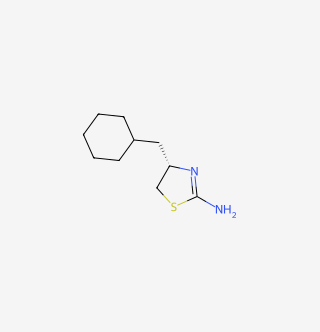 NC1=N[C@@H](CC2CCCCC2)CS1